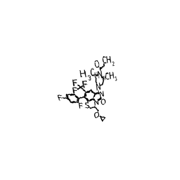 C=CC(=O)N1[C@H](C)CN(c2nc(=O)n3c4c(c(-c5ccc(F)cc5F)c(C(F)(F)F)cc24)SCC3COC2CC2)C[C@@H]1C